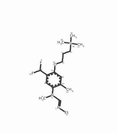 CCN=CN(C)c1cc(C(F)F)c(OCCC[Si](C)(C)C)cc1C